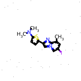 Cc1cc(I)cn2cc(-c3ccc(N(C)C)s3)nc12